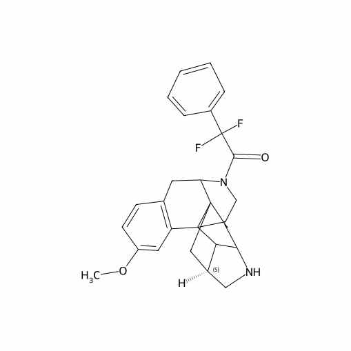 COc1ccc2c(c1)C13CCN(C(=O)C(F)(F)c4ccccc4)C(C2)C12CCC1NC[C@@H](C2)C13